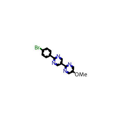 COc1cnc(-c2cnc(-c3ccc(Br)cc3)nc2)nc1